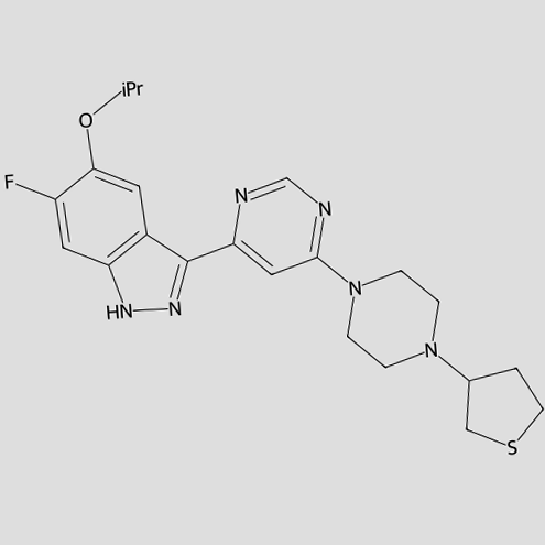 CC(C)Oc1cc2c(-c3cc(N4CCN(C5CCSC5)CC4)ncn3)n[nH]c2cc1F